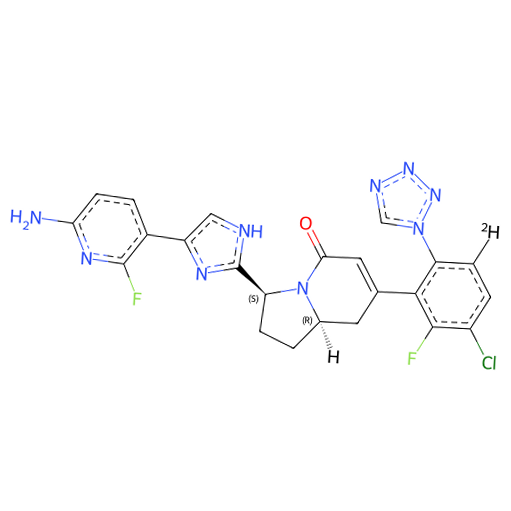 [2H]c1cc(Cl)c(F)c(C2=CC(=O)N3[C@H](CC[C@H]3c3nc(-c4ccc(N)nc4F)c[nH]3)C2)c1-n1cnnn1